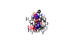 C=CCOC(=O)[C@H](Cc1ccccc1)NC(NC(=O)C[C@@H](OC)[C@H]([C@@H](C)CC)N(C)C(=O)[C@@H](NC(=C)[C@H](C(C)C)N(C)C(=O)O)C(C)C)C(C)C